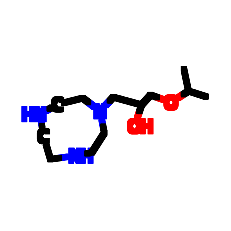 CC(C)OCC(O)CN1CCNCCNCC1